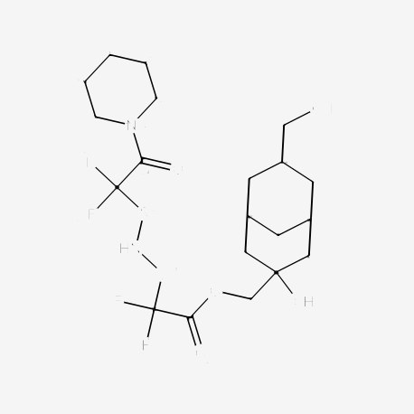 CCC1CC2CC(C1)CC(C)(COC(=O)C(F)(F)SNSC(F)(F)C(=O)N1CCCCC1)C2